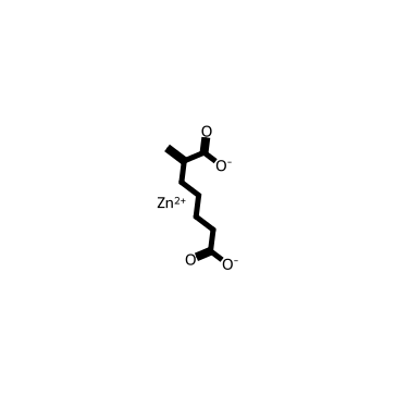 C=C(CCCCC(=O)[O-])C(=O)[O-].[Zn+2]